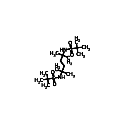 CC(C)(CCC(C)(C)NS(=O)(=O)C(C)(C)C)NS(=O)(=O)C(C)(C)C